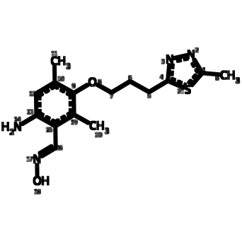 Cc1nnc(CCCOc2c(C)cc(N)c(C=NO)c2C)s1